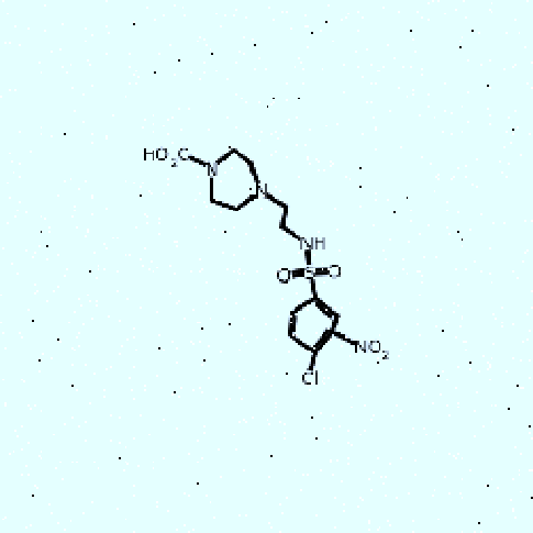 O=C(O)N1CCN(CCNS(=O)(=O)c2ccc(Cl)c([N+](=O)[O-])c2)CC1